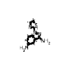 Nc1ccc2c(c1)c(N)nn2-c1nccs1